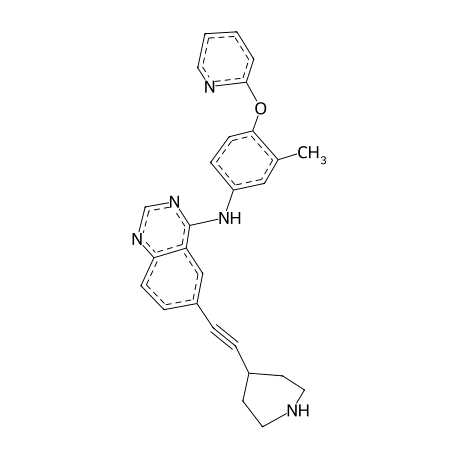 Cc1cc(Nc2ncnc3ccc(C#CC4CCNCC4)cc23)ccc1Oc1ccccn1